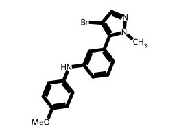 COc1ccc(Nc2cccc(-c3c(Br)cnn3C)c2)cc1